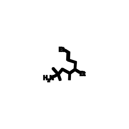 CC/C=C/CC(CC)C(C)CC(C)(C)N